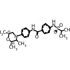 CC1[C@@H](C)O[C@@H](C)CN1c1ccc(NC(=O)c2ccc(NS(=O)(=O)C(C)C)cc2)cc1